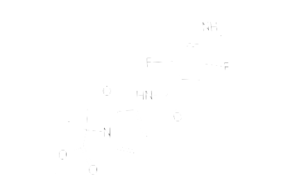 COC(=O)C1(n2cccc(NC(=O)c3cc(F)c(N)cc3F)c2=O)CC1